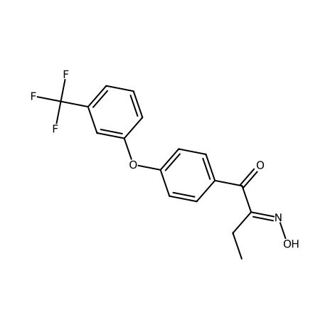 CC/C(=N\O)C(=O)c1ccc(Oc2cccc(C(F)(F)F)c2)cc1